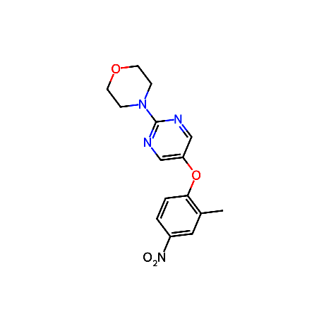 Cc1cc([N+](=O)[O-])ccc1Oc1cnc(N2CCOCC2)nc1